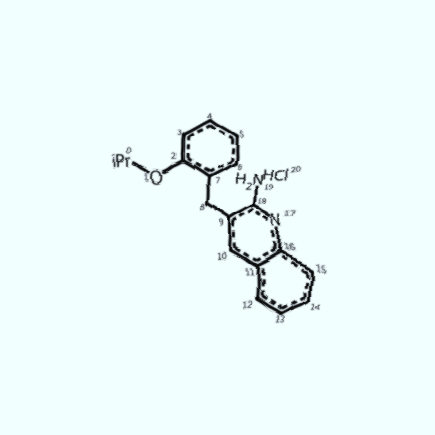 CC(C)Oc1ccccc1Cc1cc2ccccc2nc1N.Cl